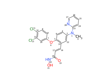 CN(c1ccc(Oc2ccc(Cl)c(Cl)c2)c(/C=C/C(=O)NO)c1)c1ccccn1